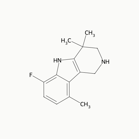 Cc1ccc(F)c2[nH]c3c(c12)CNCC3(C)C